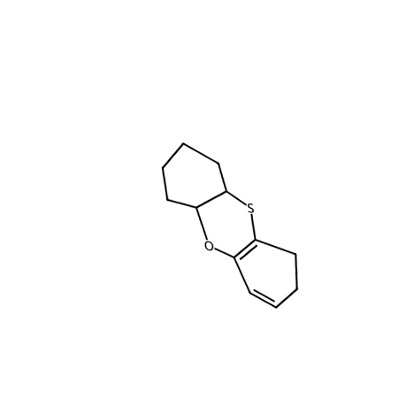 C1=CC2=C(CC1)SC1CCCCC1O2